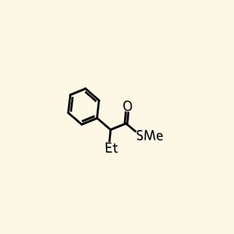 CCC(C(=O)SC)c1ccccc1